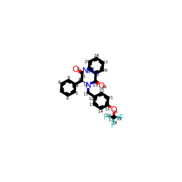 NC(=O)[C@@H](c1ccccc1)N(Cc1ccc(OC(F)(F)F)cc1)C(=O)c1ccccc1